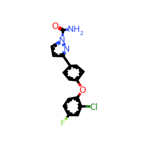 NC(=O)n1ccc(-c2ccc(Oc3ccc(F)cc3Cl)cc2)n1